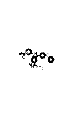 C=CC(=O)N1CCC[C@@H](n2nc(-c3ccc(Oc4ccccc4)cc3)c3cc4c(N)noc4cc32)C1